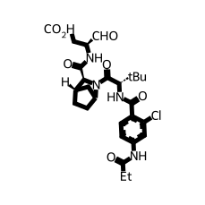 CCC(=O)Nc1ccc(C(=O)N[C@H](C(=O)N2C3CC[C@@H](C3)[C@H]2C(=O)N[C@H](C=O)CC(=O)O)C(C)(C)C)c(Cl)c1